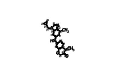 Cc1cc(Nc2cc3c(cn2)N(C)C(=O)CO3)cc2c1ncn2CC1CC1